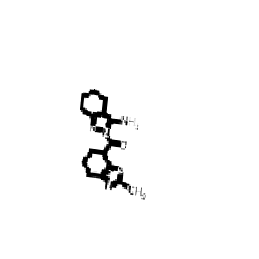 Cc1nc2c(s1)C(C(=O)n1nc3c(c1N)CCCC3)CCC2